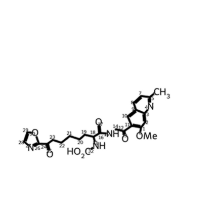 COc1cc2nc(C)ccc2cc1C(=O)CNC(=O)C(CCCCCC(=O)c1ncco1)NC(=O)O